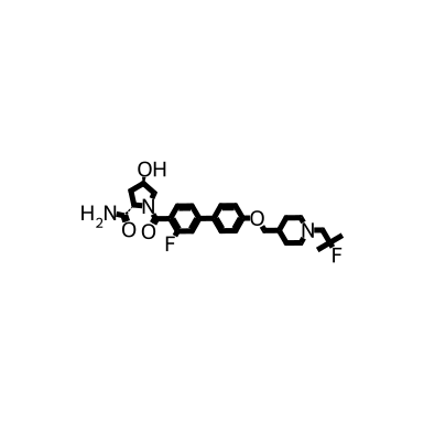 CC(C)(F)CN1CCC(COc2ccc(-c3ccc(C(=O)N4C[C@H](O)C[C@H]4C(N)=O)c(F)c3)cc2)CC1